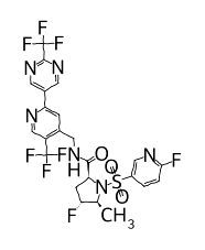 C[C@H]1[C@H](F)C[C@@H](C(=O)NCc2cc(-c3cnc(C(F)(F)F)nc3)ncc2C(F)(F)F)N1S(=O)(=O)c1ccc(F)nc1